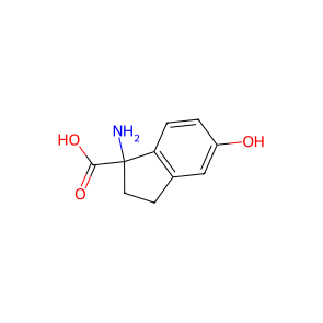 NC1(C(=O)O)CCc2cc(O)ccc21